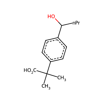 CCCC(O)c1ccc(C(C)(C)C(=O)O)cc1